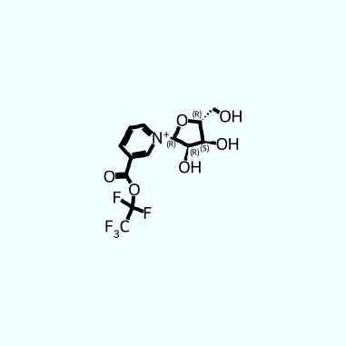 O=C(OC(F)(F)C(F)(F)F)c1ccc[n+]([C@@H]2O[C@H](CO)[C@@H](O)[C@H]2O)c1